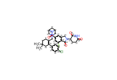 CC1(C)CCC(CN2CC3CC(C2)N3C(=O)c2cc(F)c3c(c2)CN(C2CCC(=O)NC2=O)C3=O)=C(c2ccc(Cl)cc2)C1